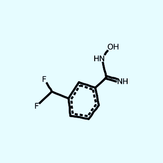 N=C(NO)c1cccc(C(F)F)c1